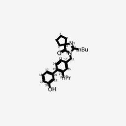 CCCCC1=NC2(CCCC2)C(=O)N1Cc1ccc(-c2cccc(O)c2)c(CCC)c1